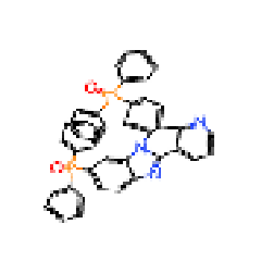 O=P(c1ccccc1)(c1ccccc1)c1ccc2nc3c4cccnc4c4ccc(P(=O)(c5ccccc5)c5ccccc5)cc4n3c2c1